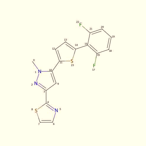 Cn1nc(-c2nccs2)cc1-c1ccc(-c2c(F)cccc2F)s1